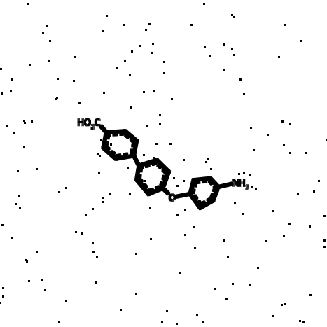 Nc1ccc(Oc2ccc(-c3ccc(C(=O)O)cc3)cc2)cc1